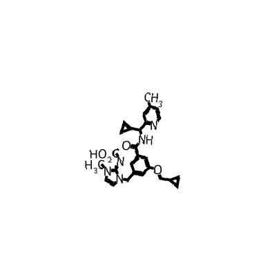 Cc1ccnc(C(NC(=O)c2cc(Cn3ccn(C)c3=NC(=O)O)cc(OCC3CC3)c2)C2CC2)c1